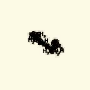 CC[C@@H]1CN(Cc2cc(C(OCc3cn(Cc4cccc(Cn5cc(COC(c6ccc(C)c(CN7C[C@@H](CC)Oc8ccccc8S7(=O)=O)c6)C(C)(C)C(=O)O)nn5)c4)nn3)C(C)(C)C(=O)O)ccc2C)S(=O)(=O)c2ccccc2O1